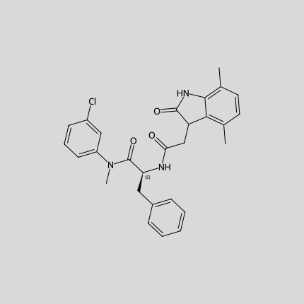 Cc1ccc(C)c2c1NC(=O)C2CC(=O)N[C@@H](Cc1ccccc1)C(=O)N(C)c1cccc(Cl)c1